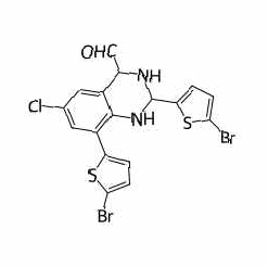 O=CC1NC(c2ccc(Br)s2)Nc2c(-c3ccc(Br)s3)cc(Cl)cc21